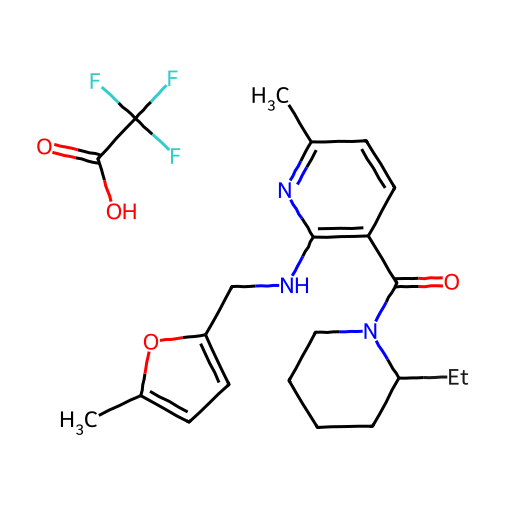 CCC1CCCCN1C(=O)c1ccc(C)nc1NCc1ccc(C)o1.O=C(O)C(F)(F)F